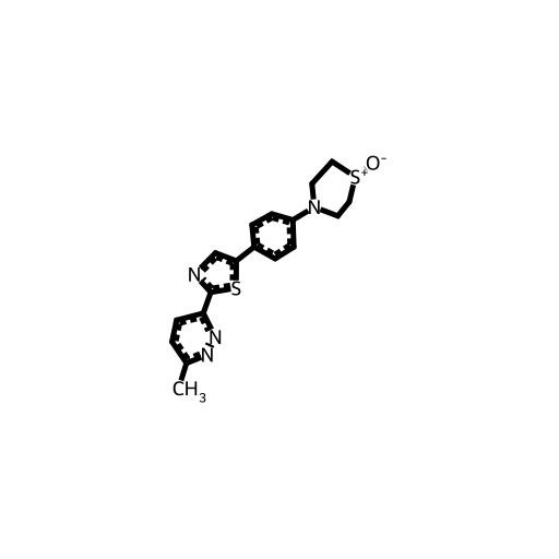 Cc1ccc(-c2ncc(-c3ccc(N4CC[S+]([O-])CC4)cc3)s2)nn1